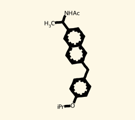 CC(=O)NC(C)c1ccc2cc(Cc3ccc(OC(C)C)cc3)ccc2c1